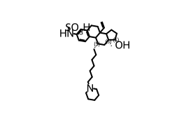 C=CC12CCc3cc(NS(=O)(=O)O)ccc3C1[C@@H](CCCCCCCN1CCCCC1)C[C@@]1(C)C2CC[C@@H]1O